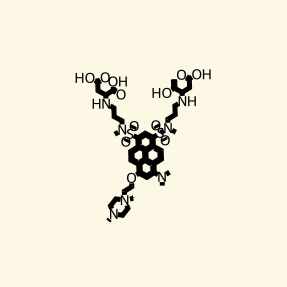 C=C(O)C(CC(=O)O)NCCCN(C)S(=O)(=O)c1cc(S(=O)(=O)N(C)CCCNC(CC(=O)O)C(=O)O)c2ccc3c(OCC[N+]4(C)CCN(C)CC4)cc(N(C)C)c4ccc1c2c34